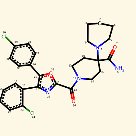 NC(=O)C1(N2CCCCC2)CCN(C(=O)c2nc(-c3ccccc3Cl)c(-c3ccc(Cl)cc3)o2)CC1